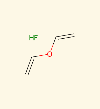 C=COC=C.F